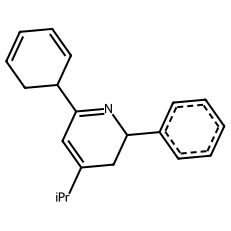 CC(C)C1=CC(C2C=CC=CC2)=NC(c2ccccc2)C1